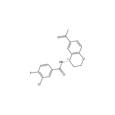 CC(=O)c1ccc2c(c1)[C@@H](NC(=O)c1ccc(F)c(Cl)c1)[CH]CO2